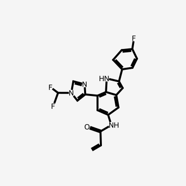 C=CC(=O)Nc1cc(-c2cn(C(F)F)cn2)c2[nH]c(-c3ccc(F)cc3)cc2c1